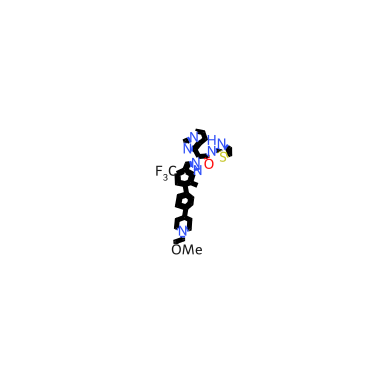 COCCN1CCC(c2ccc(-c3cc(C(F)(F)F)c4cn(C(C(=O)Nc5nccs5)c5ncn6c5CCC6)nc4c3C)cc2)CC1